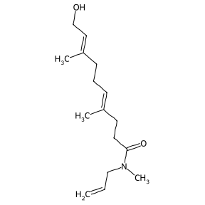 C=CCN(C)C(=O)CC/C(C)=C/CC/C(C)=C/CO